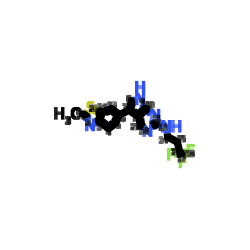 Cc1nc2ccc(-c3c[nH]c4nc(NCCC(F)(F)F)ncc34)cc2s1